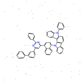 c1ccc(-c2cccc(-c3cc(-c4ccc(-n5c6ccccc6c6ccc7c(c8ccccc8n7-c7ccccc7)c65)c5ccccc45)nc(-c4ccccc4)n3)c2)cc1